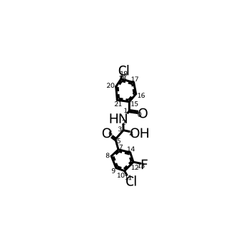 O=C(NC(O)C(=O)c1ccc(Cl)c(F)c1)c1ccc(Cl)cc1